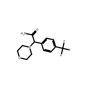 NC(=O)C(c1ccc(C(F)(F)F)cc1)N1CCOCC1